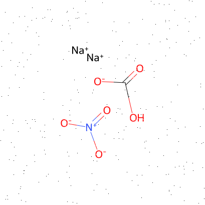 O=C([O-])O.O=[N+]([O-])[O-].[Na+].[Na+]